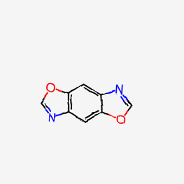 c1nc2cc3ocnc3cc2o1